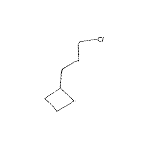 ClCCCC1[CH]CC1